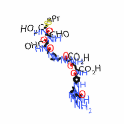 CCCSSC[C@H](NC(=O)C[C@@H](C=O)NC(=O)C[C@@H](C=O)NC(=O)CN1CCN(CCNC(=O)C[C@H](NC(=O)CC[C@H](NC(=O)c2ccc(NCc3cnc4nc(N)[nH]c(=O)c4n3)cc2)C(=O)O)C(=O)O)CC1)C(=O)O